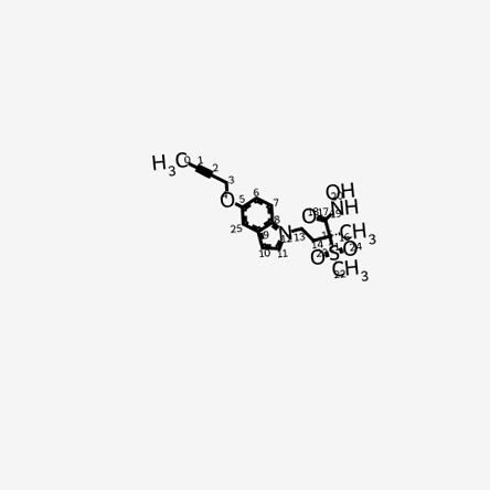 CC#CCOc1ccc2c(ccn2CC[C@@](C)(C(=O)NO)S(C)(=O)=O)c1